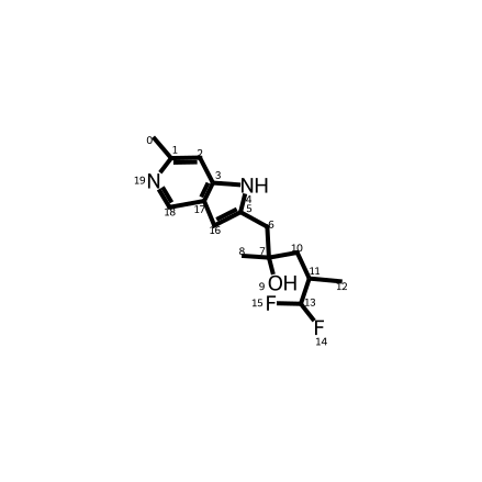 Cc1cc2[nH]c(CC(C)(O)CC(C)C(F)F)cc2cn1